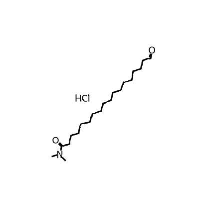 CN(C)C(=O)CCCCCCCCCCCCCCCCC=O.Cl